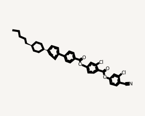 CCCCC[C@H]1CC[C@H](c2ccc(-c3ccc(C(=O)Oc4ccc(C(=O)Oc5ccc(C#N)c(Cl)c5)c(Cl)c4)cc3)cc2)CC1